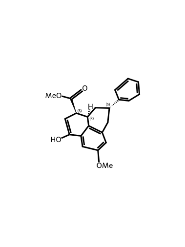 COC(=O)[C@@H]1C=C(O)c2cc(OC)cc3c2[C@@H]1C[C@H](c1ccccc1)C3